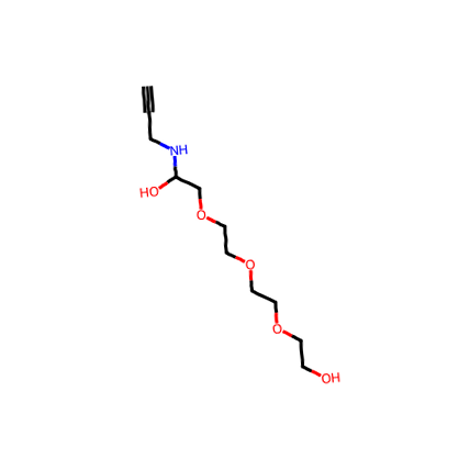 C#CCNC(O)COCCOCCOCCO